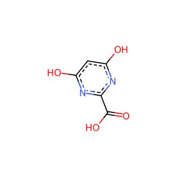 O=C(O)c1nc(O)cc(O)n1